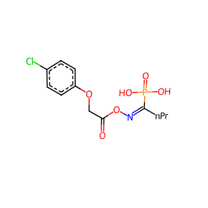 CCCC(=NOC(=O)COc1ccc(Cl)cc1)P(=O)(O)O